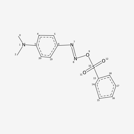 CN(C)c1ccc(N=NOS(=O)(=O)c2ccccc2)cc1